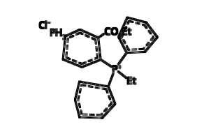 CCOC(=O)c1ccccc1[P+](CC)(c1ccccc1)c1ccccc1.P.[Cl-]